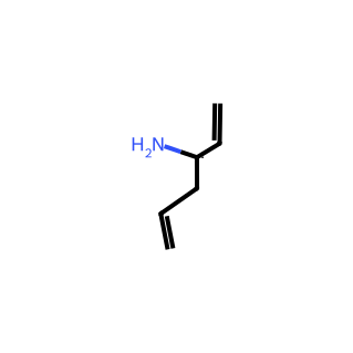 C=CC[C](N)C=C